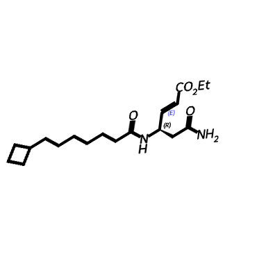 CCOC(=O)/C=C/[C@@H](CC(N)=O)NC(=O)CCCCCCC1CCC1